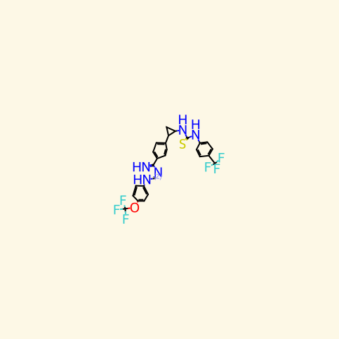 N=C(/N=C\Nc1ccc(OC(F)(F)F)cc1)c1ccc(C2CC2NC(=S)Nc2ccc(C(F)(F)F)cc2)cc1